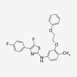 Cc1ccc(Nc2nc(-c3ccc(F)cc3)c(F)s2)cc1OCCOc1ccccc1